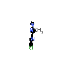 Cc1cc(C#Cc2ccc(-c3ccc(Cl)cc3)cn2)cnc1[CH]CN1CCCC1